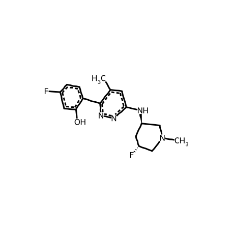 Cc1cc(N[C@@H]2C[C@@H](F)CN(C)C2)nnc1-c1ccc(F)cc1O